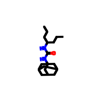 CCCC(CCC)NC(=O)NC12CC3CC(CC(C3)C1)C2